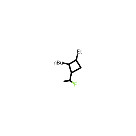 CCCCC1C(CC)CC1C(C)F